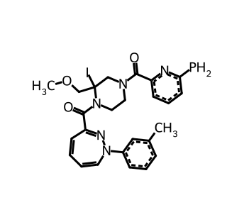 COCC1(I)CN(C(=O)c2cccc(P)n2)CCN1C(=O)C1=NN(c2cccc(C)c2)C=CC=C1